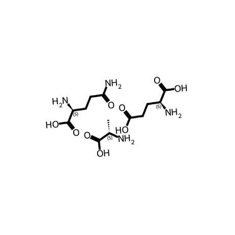 C[C@H](N)C(=O)O.NC(=O)CC[C@H](N)C(=O)O.N[C@@H](CCC(=O)O)C(=O)O